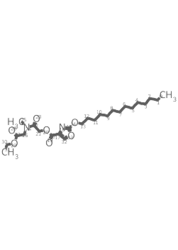 CCCCCCCCCCCCCCOc1nc(C(=O)OCC(=O)N(C)CC(=O)OCC)co1